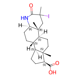 CC1(I)C[C@@]2(C)[C@@H](CC[C@@H]3[C@@H]2CC[C@]2(C)[C@@H](C(=O)O)CC[C@@H]32)NC1=O